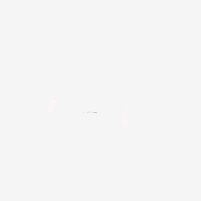 CC/C=C/CCC(=O)C/C=C/C=C=CC(=O)CC